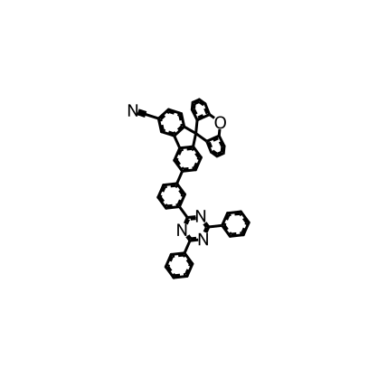 N#Cc1ccc2c(c1)-c1cc(-c3cccc(-c4nc(-c5ccccc5)nc(-c5ccccc5)n4)c3)ccc1C21c2ccccc2Oc2ccccc21